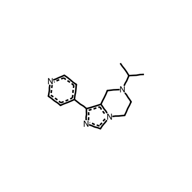 CC(C)N1CCn2cnc(-c3ccncc3)c2C1